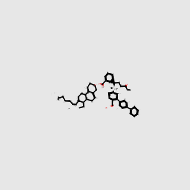 CCC(=O)CCC1([Si](C)(C)c2ccc(C(=O)O)c(-c3ccc(-c4ccccc4)cc3)c2)c2cccc(C(=O)OC3CC[C@@]4(C)C(=CCC5C4CC[C@@]4(C)C5CC[C@@H]4[C@H](C)CCCC(C)C)C3)c21